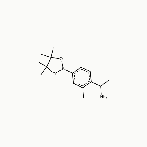 Cc1cc(B2OC(C)(C)C(C)(C)O2)ccc1C(C)N